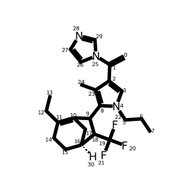 C=C(c1cn(CCC)c(C2C3=C(CC)CC[C@@H](C3)C2C(F)(F)F)c1C)n1ccnc1